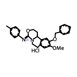 COc1cc2c(cc1OCc1ccccc1)C1CCO/C(=N\c3ccc(C)cc3)N1CC2.Cl